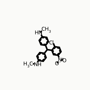 CNc1ccc(C(c2ccc(NC)cc2)c2cc([N+](=O)[O-])ccc2Cl)cc1